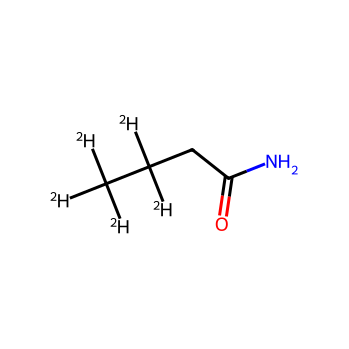 [2H]C([2H])([2H])C([2H])([2H])CC(N)=O